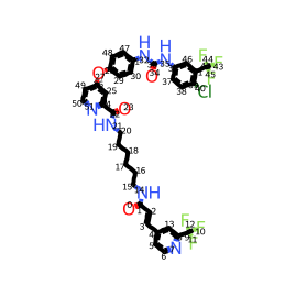 O=C(C=Cc1ccnc(C(F)(F)F)c1)NCCCCCCNC(=O)c1cc(Oc2ccc(NC(=O)Nc3ccc(Cl)c(C(F)(F)F)c3)cc2)ccn1